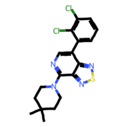 CC1(C)CCN(c2ncc(-c3cccc(Cl)c3Cl)c3nsnc23)CC1